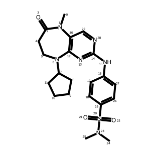 CN1C(=O)CCN(C2CCCC2)c2nc(Nc3ccc(S(=O)(=O)N(C)C)cc3)ncc21